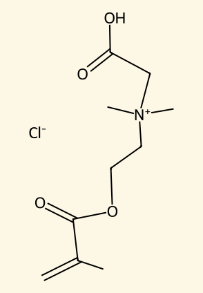 C=C(C)C(=O)OCC[N+](C)(C)CC(=O)O.[Cl-]